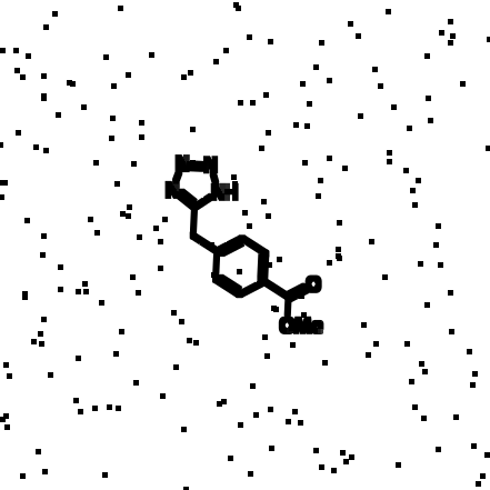 COC(=O)c1ccc(Cc2nnn[nH]2)cc1